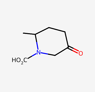 CC1CCC(=O)CN1C(=O)O